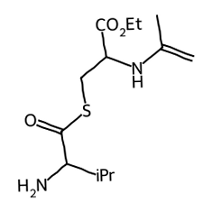 C=C(C)NC(CSC(=O)C(N)C(C)C)C(=O)OCC